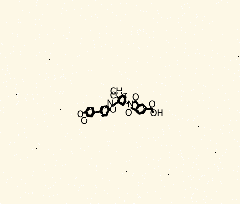 COc1ccc(N2C(=O)c3ccc(C(=O)O)cc3C2=O)cc1-c1nc2cc(-c3ccc4c(c3)OCO4)ccc2o1